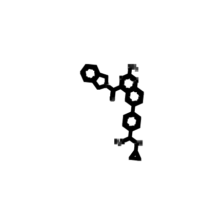 Nc1nc(C(=O)N2Cc3ccccc3C2)c2cc(-c3ccc(C(N)NC4CC4)cc3)ccc2n1